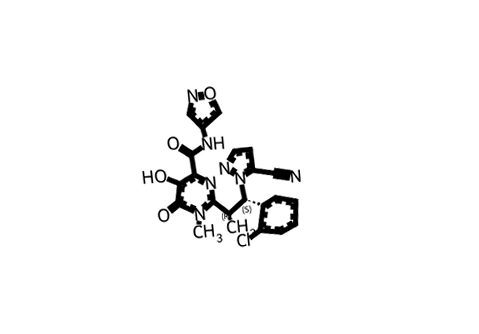 C[C@@H](c1nc(C(=O)Nc2cnoc2)c(O)c(=O)n1C)[C@@H](c1ccccc1Cl)n1nccc1C#N